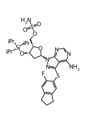 CC(C)[Si](O[C@@H]1C[C@H](n2nc(Sc3cc4c(cc3F)CCC4)c3c(N)ncnc32)O[C@@H]1COS(N)(=O)=O)(C(C)C)C(C)C